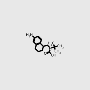 CC(C)(C)N(CC1CCCc2cc(N)ccc21)C(=O)O